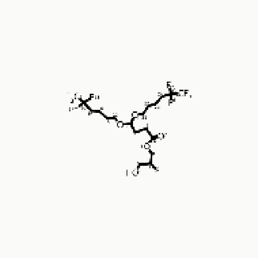 [CH2]C(CO)COC(=O)CCC(OCCCCC(F)(F)C(F)(F)F)OCCCCC(F)(F)C(F)(F)F